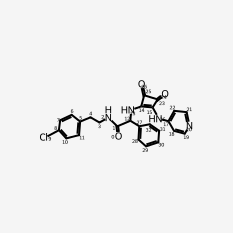 O=C(NCCc1ccc(Cl)cc1)C(Nc1c(Nc2ccncc2)c(=O)c1=O)c1ccccc1